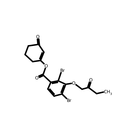 CCC(=O)COc1c(Br)ccc(C(=O)OC2=CC(=O)CCC2)c1Br